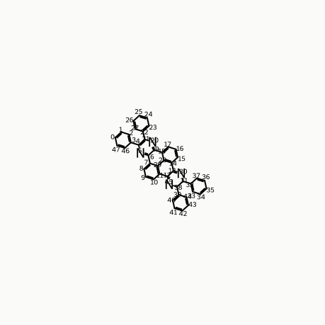 c1ccc(-c2nc3c4cccc5c6c(c7cccc(c3nc2-c2ccccc2)c7c54)=NC(c2ccccc2)C(c2ccccc2)N=6)cc1